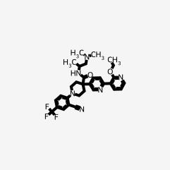 CCOc1ncccc1-c1ccc(C2(C(=O)NC(C)CN(C)C)CCN(c3ccc(C(F)(F)F)cc3C#N)CC2)cn1